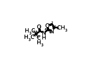 Cc1coc(NC(=O)C(C)(C)C)n1